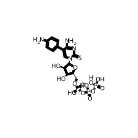 Nc1ccc(-c2cn([C@@H]3O[C@H](COP(=O)(O)OP(=O)(O)OP(=O)(O)O)[C@@H](O)[C@H]3O)c(=S)nc2N)cc1